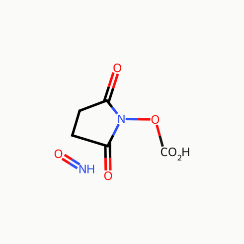 N=O.O=C(O)ON1C(=O)CCC1=O